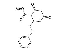 COC(=O)C1C(=O)CC(=O)CC1CCc1ccccc1